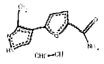 Cc1n[nH]cc1-c1ccc(C(N)=O)o1.O=CO